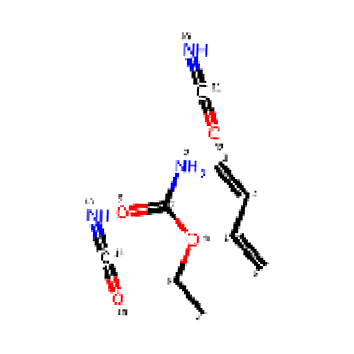 C=CC=C.CCOC(N)=O.N=C=O.N=C=O